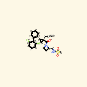 COC[C@]1(C(=O)N2CC[C@H]2CNS(C)(=O)=O)C[C@@H]1c1ccccc1-c1c(F)cccc1F